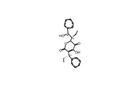 CC[C@H](C1=C(O)C(=O)C([C@H](CC)[C@@H](O)c2ccccc2)OC1=O)c1ccccc1